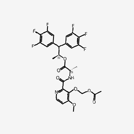 COc1ccnc(C(=O)N[C@@H](C)C(=O)O[C@@H](C)C(c2cc(F)c(F)c(F)c2)c2cc(F)c(F)c(F)c2)c1OCOC(C)=O